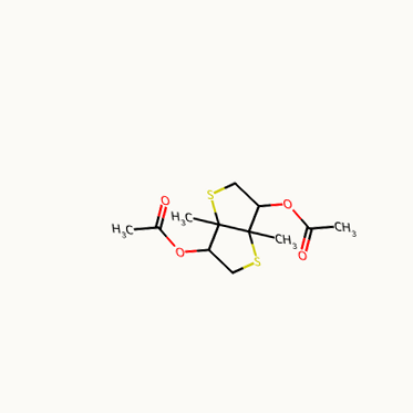 CC(=O)OC1CSC2(C)C(OC(C)=O)CSC12C